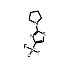 F[B-](F)(F)c1csc(N2CCCC2)n1